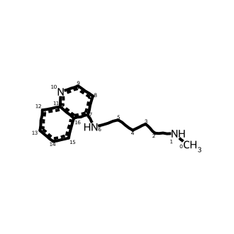 CNCCCCNc1ccnc2ccccc12